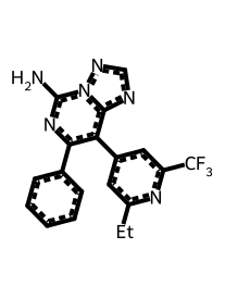 CCc1cc(-c2c(-c3ccccc3)nc(N)n3ncnc23)cc(C(F)(F)F)n1